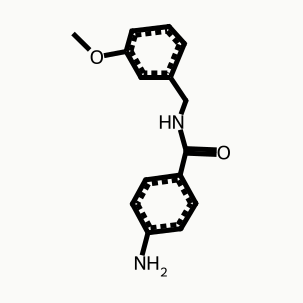 COc1cccc(CNC(=O)c2ccc(N)cc2)c1